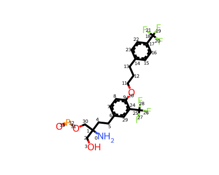 NC(CO)(CCc1ccc(OCCCc2ccc(C(F)(F)F)cc2)c(C(F)(F)F)c1)COP=O